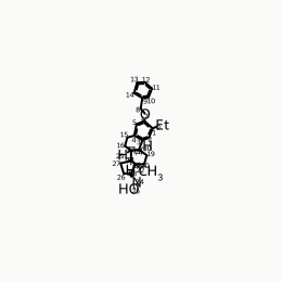 CCc1cc2c(cc1OCc1ccccc1)CC[C@@H]1[C@@H]2CC[C@]2(C)C(=NO)CC[C@@H]12